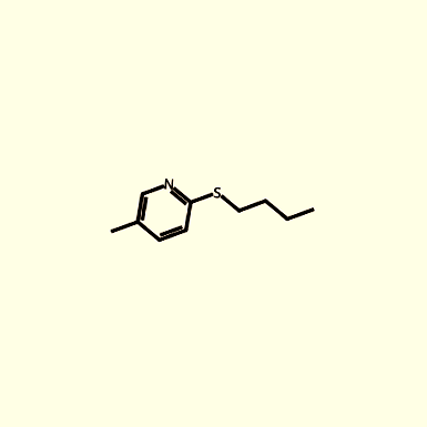 CCCCSc1ccc(C)cn1